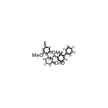 COc1cc(F)cc(OC)c1C1CCCC(C=O)N1Cc1cccc(-c2ccccc2)c1